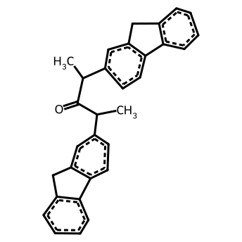 CC(C(=O)C(C)c1ccc2c(c1)Cc1ccccc1-2)c1ccc2c(c1)Cc1ccccc1-2